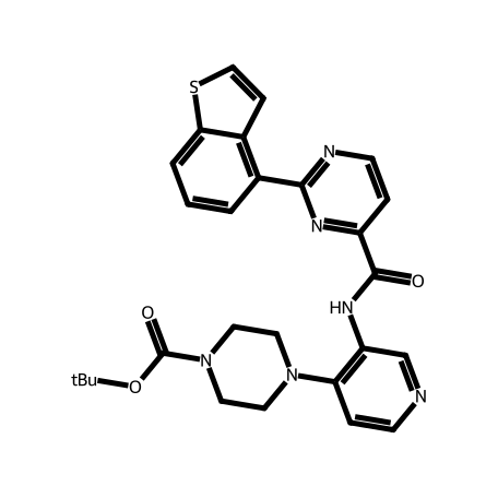 CC(C)(C)OC(=O)N1CCN(c2ccncc2NC(=O)c2ccnc(-c3cccc4sccc34)n2)CC1